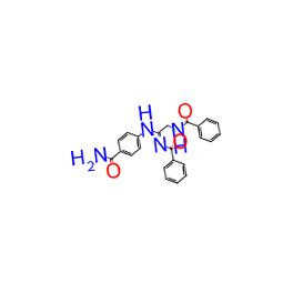 NC(=O)c1ccc(NC(CNC(=O)c2ccccc2)=NC(=O)c2ccccc2)cc1